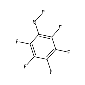 F[B]c1c(F)c(F)c(F)c(F)c1F